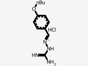 CCCCOc1ccc(/C=N/NC(=N)N)cc1.Cl